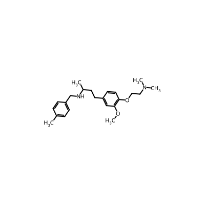 COc1cc(CCC(C)NCc2ccc(C)cc2)ccc1OCCN(C)C